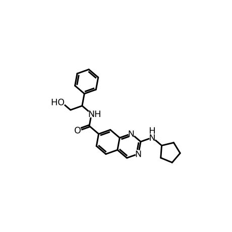 O=C(NC(CO)c1ccccc1)c1ccc2cnc(NC3CCCC3)nc2c1